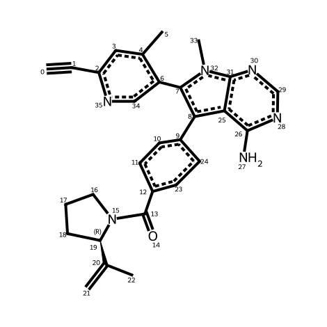 C#Cc1cc(C)c(-c2c(-c3ccc(C(=O)N4CCC[C@@H]4C(=C)C)cc3)c3c(N)ncnc3n2C)cn1